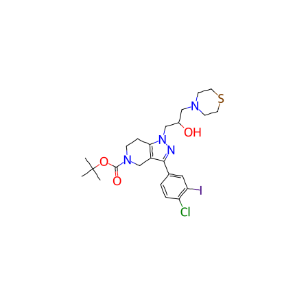 CC(C)(C)OC(=O)N1CCc2c(c(-c3ccc(Cl)c(I)c3)nn2CC(O)CN2CCSCC2)C1